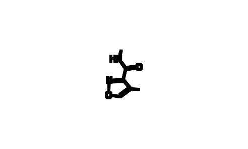 CNC(=O)c1nocc1C